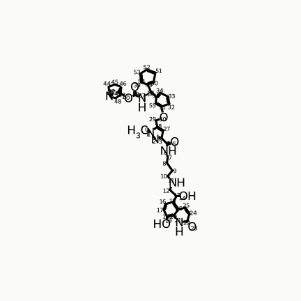 Cn1nc(C(=O)NCCCCNCC(O)c2ccc(O)c3[nH]c(=O)ccc23)cc1COc1cccc([C@@H](NC(=O)OC2CN3CCC2CC3)c2ccccc2)c1